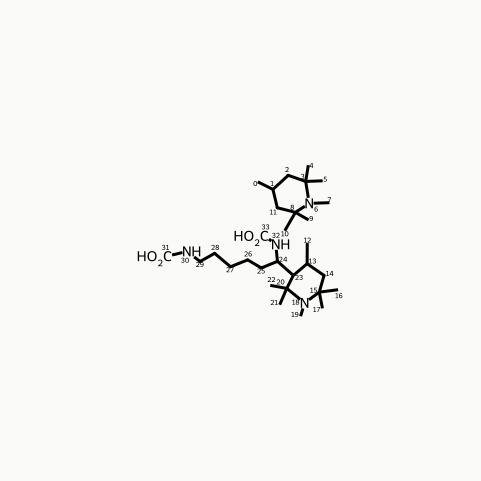 CC1CC(C)(C)N(C)C(C)(C)C1.CC1CC(C)(C)N(C)C(C)(C)C1C(CCCCCNC(=O)O)NC(=O)O